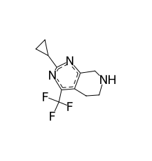 FC(F)(F)c1nc(C2CC2)nc2c1CCNC2